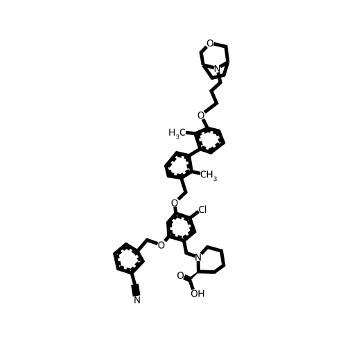 Cc1c(COc2cc(OCc3cccc(C#N)c3)c(CN3CCCC[C@H]3C(=O)O)cc2Cl)cccc1-c1cccc(OCCCN2C3CCC2COC3)c1C